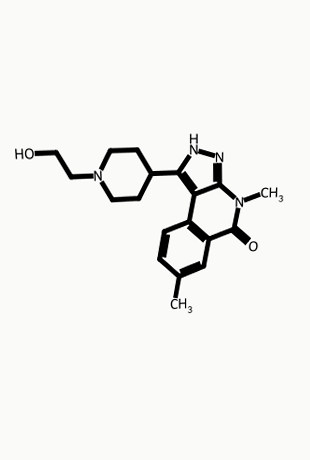 Cc1ccc2c(c1)c(=O)n(C)c1n[nH]c(C3CCN(CCO)CC3)c21